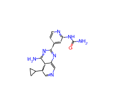 NC(=O)Nc1cc(-c2nc(N)c3c(C4CC4)cncc3n2)ccn1